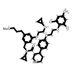 COCCCc1cc(CN(C(=O)[C@H]2CNCCC2c2ccc(OCCOc3c(Cl)cc(C)cc3Cl)cc2)C2CC2)cc(OCCOC2CC2)c1